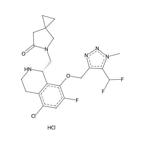 Cl.Cn1nnc(COc2c(F)cc(Cl)c3c2[C@@H](CN2CC4(CC4)CC2=O)NCC3)c1C(F)F